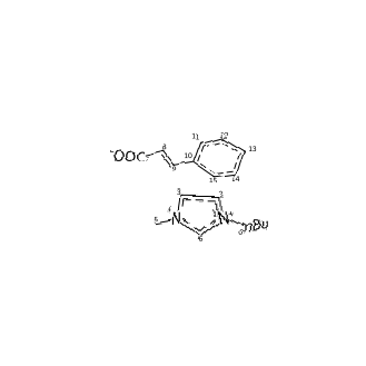 CCCC[n+]1ccn(C)c1.O=C([O-])C=Cc1ccccc1